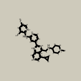 CN1CCC(NCc2nc(-c3ccnc(Nc4ncc(F)cc4F)c3)nc3cncc(C4CC4)c23)CC1